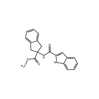 COC(=O)C1(NC(=O)c2cc3ccccc3[nH]2)Cc2ccccc2C1